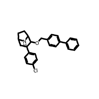 Clc1ccc(C2CC3CCC(N3)C2OCc2ccc(-c3ccccc3)cc2)cc1